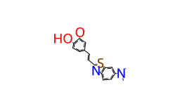 COc1cc(C=Cc2nc3ccc(N(C)C)cc3s2)ccc1O